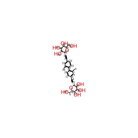 Cc1cc(C#C[C@H]2O[C@H](CO)[C@@H](O)[C@H](O)[C@@H]2O)ccc1-c1ccc(C#C[C@H]2O[C@H](CO)[C@@H](O)[C@H](O)[C@@H]2O)cc1C